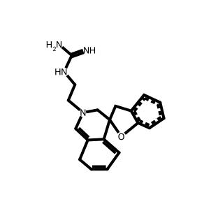 N=C(N)NCCN1C=C2CC=CC=C2C2(Cc3ccccc3O2)C1